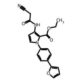 CCOC(=O)c1c(NC(=O)CC#N)ccn1-c1ccc(-c2ccco2)cc1